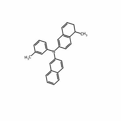 Cc1cccc(N(c2ccc3c(c2)C=CCC3C)c2ccc3ccccc3c2)c1